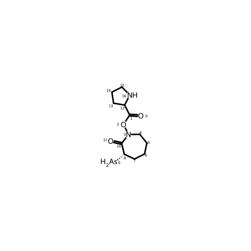 O=C(ON1CCCC[C@H]([AsH2])C1=O)C1CCCN1